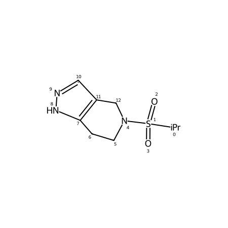 CC(C)S(=O)(=O)N1CCc2[nH]n[c]c2C1